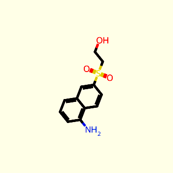 Nc1cccc2cc(S(=O)(=O)CCO)ccc12